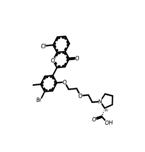 Cc1cc(-c2cc(=O)c3cccc(Cl)c3o2)c(OCCOCCN2CCC[C@@H]2C(=O)O)cc1Br